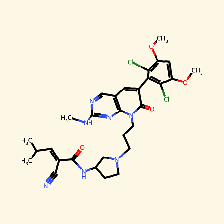 CNc1ncc2cc(-c3c(Cl)c(OC)cc(OC)c3Cl)c(=O)n(CCCN3CCC(NC(=O)C(C#N)=CC(C)C)C3)c2n1